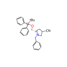 CC(C)(C)[Si](OC[C@@H]1CC(C#N)CN1Cc1ccccc1)(c1ccccc1)c1ccccc1